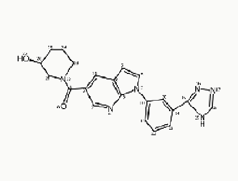 O=C(c1cnc2c(ccn2-c2cccc(-c3nnc[nH]3)c2)c1)N1CCC[C@H](O)C1